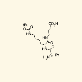 CC(C)[C@H](N)C(=O)NC(CCCCNC(=O)OC(C)(C)C)C(=O)NCCCC(=O)O